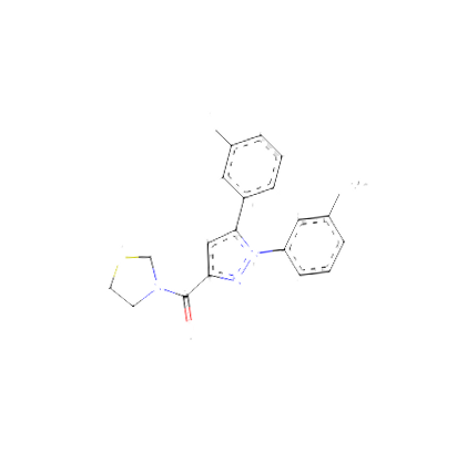 COc1cccc(-n2nc(C(=O)N3CCSC3)cc2-c2cccc(C(F)(F)F)c2)c1